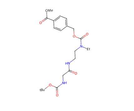 CCN(CCNC(=O)CNC(=O)OC(C)(C)C)C(=O)OCc1ccc(C(=O)OC)cc1